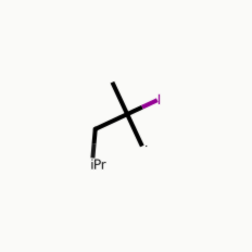 [CH2]C(C)(I)CC(C)C